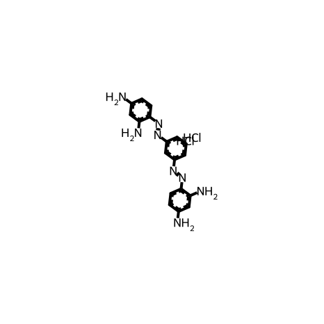 Cl.Cl.Nc1ccc(/N=N/c2cccc(/N=N/c3ccc(N)cc3N)c2)c(N)c1